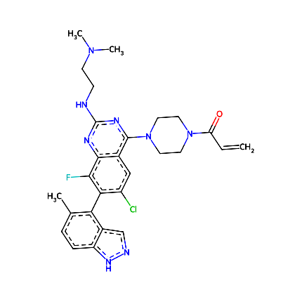 C=CC(=O)N1CCN(c2nc(NCCN(C)C)nc3c(F)c(-c4c(C)ccc5[nH]ncc45)c(Cl)cc23)CC1